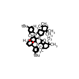 Cc1cc2c3c(c1)N(c1ccc(C(C)(C)C)cc1-c1ccccc1)c1c(oc4c1C(C)(C)CCC4(C)C)B3c1cc3c(cc1N2c1ccc(C(C)(C)C)cc1C)C(C)(C)CCC3(C)C